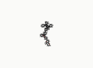 CC1(C)c2ccccc2-c2ccc(-c3ccc(-n4c5ccccc5c5cc(-c6ccc7c(c6)nc6n(-c8ccccc8)c8c9ccccc9n(-c9ccccc9)c8n76)ccc54)cc3)cc21